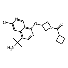 CC(C)(N)c1cnc(OC2CN(C(=O)C3CCC3)C2)c2cnc(Cl)cc12